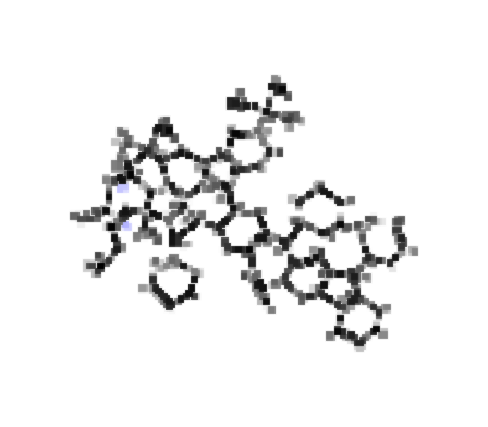 C=C/C=C\CC(C)(/C=C\CC)C1NC(C2CC(C#N)=C(N3C4=C(C5CCCCC53)C3C(CC4)C4=C(CCC=C4)N3C3CC=CCC3)CC2n2c3c(c4c2CCC(C(C)(C)C)=C4)CC(C(C)(C)C)C=C3)N1C1=CC=CCC1